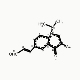 CC(=O)c1cn(N(C)C)c2ccc(/C=C/C=O)cc2c1=O